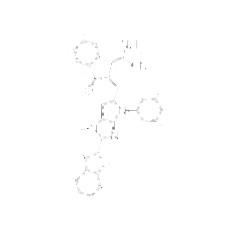 Cn1c(-c2cc3ccccc3o2)nc2c1cc(/C=C1\C(=O)c3ccccc3\C1=C(/N)C#N)n2-c1ccccc1